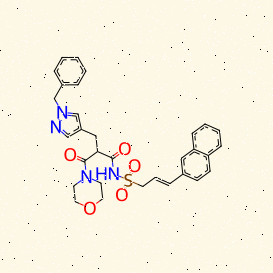 O=C(NS(=O)(=O)CC=Cc1ccc2ccccc2c1)C(Cc1cnn(Cc2ccccc2)c1)C(=O)N1CCOCC1